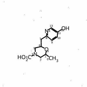 CC1CN(C(=O)O)CC(Cc2ccc(O)cn2)O1